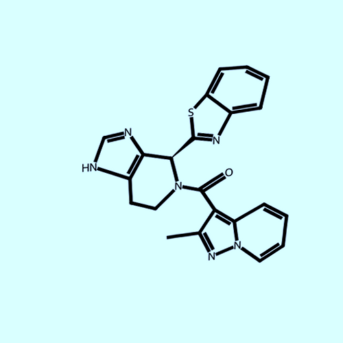 Cc1nn2ccccc2c1C(=O)N1CCc2[nH]cnc2[C@H]1c1nc2ccccc2s1